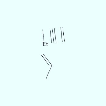 C#C.C=C.C=CC.CCC